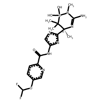 CN1C(N)=N[C@@](C)(c2nc(NC(=O)c3ccc(OC(F)F)cn3)cs2)C(C)(C)S1(O)O